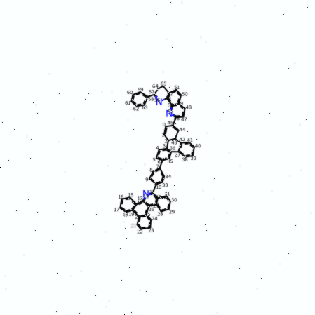 C1=CC2c3ccc(-c4ccc(-c5nc6c7ccccc7c7ccccc7c6c6ccccc56)cc4)cc3-c3ccccc3C2C=C1c1ccc2ccc3c(c2n1)N=C(c1ccccc1)CC3